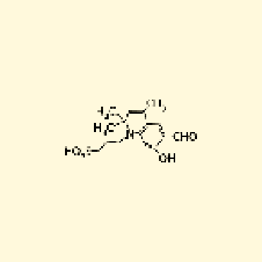 CC1=CC(C)(C)N(CCCS(=O)(=O)O)c2cc(O)c(C=O)cc21